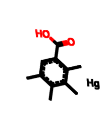 Cc1cc(C(=O)O)c(C)c(C)c1C.[Hg]